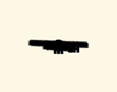 CCCCCCCCCCCCCCCC(=O)O.CCCCCCCCCCCCCCCCNONCCCCCCCCCCCCCCCC